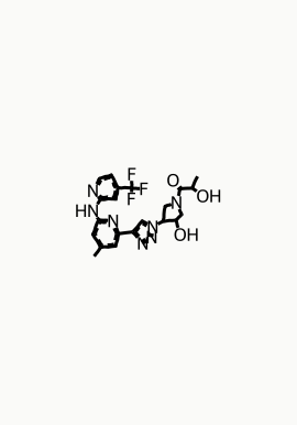 Cc1cc(Nc2cc(C(F)(F)F)ccn2)nc(-c2cn(C3CN(C(=O)C(C)O)CC3O)nn2)c1